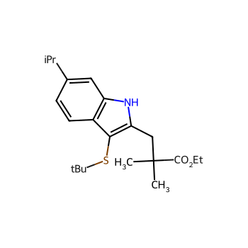 CCOC(=O)C(C)(C)Cc1[nH]c2cc(C(C)C)ccc2c1SC(C)(C)C